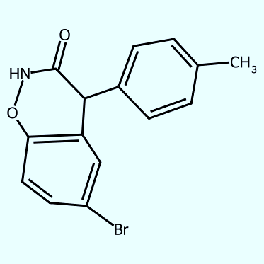 Cc1ccc(C2C(=O)NOc3ccc(Br)cc32)cc1